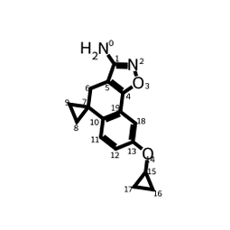 Nc1noc2c1CC1(CC1)c1ccc(OC3CC3)cc1-2